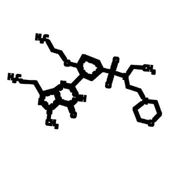 CCCOc1ccc(S(=O)(=O)N(CC)CCN2CCOCC2)cc1-c1nc2c(CCC)nn(C)c2c(=O)[nH]1